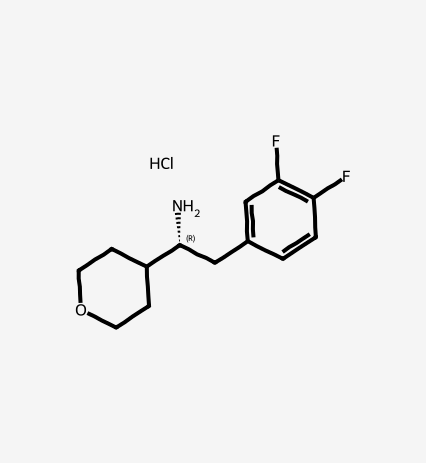 Cl.N[C@H](Cc1ccc(F)c(F)c1)C1CCOCC1